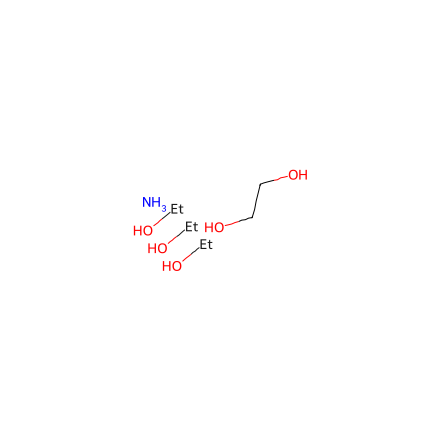 CCO.CCO.CCO.N.OCCO